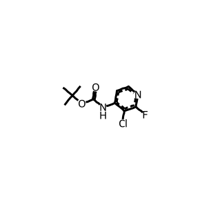 CC(C)(C)OC(=O)Nc1ccnc(F)c1Cl